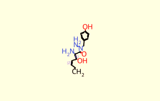 C=C/C=C\C(O)=C(/N)C(=O)N(N)Cc1ccc(O)cc1